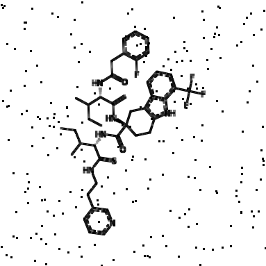 C=C(N[C@]1(C(=O)N[C@H](C(=S)NCCc2cccnc2)C(C)CC)CCc2[nH]c3c(C(F)(F)F)cccc3c2C1)[C@@H](NC(=O)Cc1ccccc1F)C(C)CC